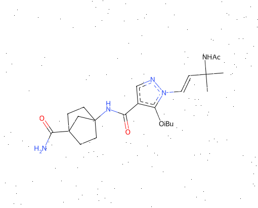 CC(=O)NC(C)(C)/C=C/n1ncc(C(=O)NC23CCC(C(N)=O)(CC2)C3)c1OCC(C)C